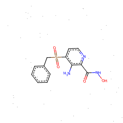 Nc1c(S(=O)(=O)Cc2ccccc2)ccnc1C(=O)NO